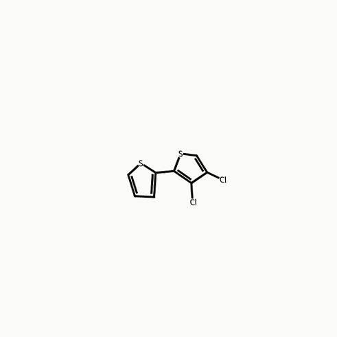 Clc1csc(-c2cccs2)c1Cl